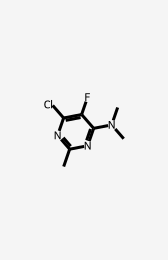 Cc1nc(Cl)c(F)c(N(C)C)n1